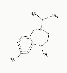 Cc1ccc2c(c1)N(C)CCN(C(C)C)C2